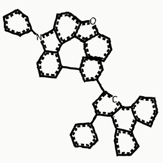 c1ccc(-c2cc(-c3cccc(-c4cccc5c4c4c6c(ccc4n5-c4ccccc4)oc4ccccc46)c3)cc3c4ccccc4c4ccccc4c23)cc1